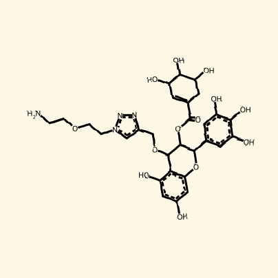 NCCOCCn1cc(COC2c3c(O)cc(O)cc3OC(c3cc(O)c(O)c(O)c3)C2OC(=O)C2=CC(O)C(O)C(O)C2)nn1